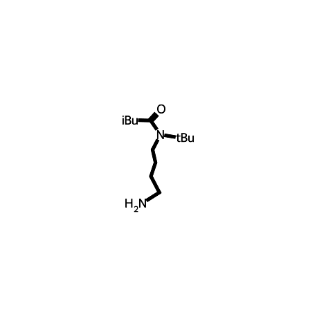 CCC(C)C(=O)N(CCCCN)C(C)(C)C